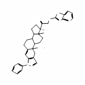 CC12Cc3cnn(-c4ccccc4)c3C=C1CCC1C2[C@@H](O)CC2(C)C1CC[C@]2(O)C(=O)CSc1nc2ncccc2o1